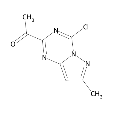 CC(=O)c1nc(Cl)n2nc(C)cc2n1